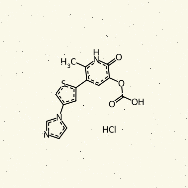 Cc1[nH]c(=O)c(OC(=O)O)cc1-c1cc(-n2ccnc2)cs1.Cl